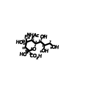 CC(=O)N[C@H]1[C@H]([C@H](O)[C@H](O)CO)O[C@](O)(C(=O)O)C[C@@]1(O)F